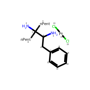 CCCCCC(N)(CCCCC)C(N)Cc1ccccc1.[Cl][Pt][Cl]